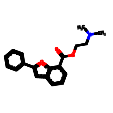 CN(C)CCOC(=O)c1cccc2cc(-c3ccccc3)oc12